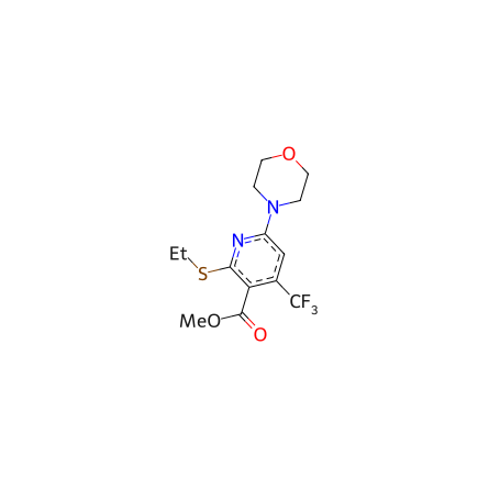 CCSc1nc(N2CCOCC2)cc(C(F)(F)F)c1C(=O)OC